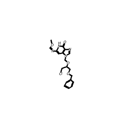 CO/C=N\c1cc2c(ncn2COC(CCl)COCc2ccccc2)c(=O)[nH]1